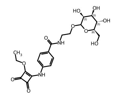 CCOc1c(Nc2ccc(C(=O)NCCOC3O[C@H](CO)[C@@H](O)[C@H](O)[C@@H]3O)cc2)c(=O)c1=O